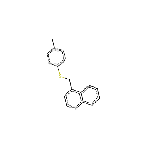 Cc1ccc(SCc2cccc3ccccc23)cc1